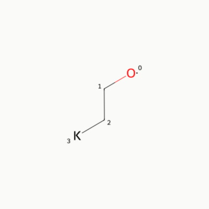 [O]C[CH2][K]